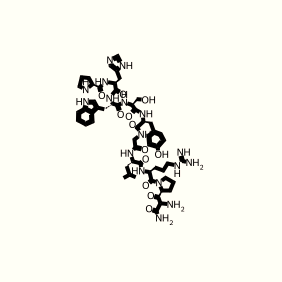 CC(C)C[C@H](NC(=O)CNC(=O)[C@H](Cc1ccc(O)cc1)NC(=O)[C@H](CO)NC(=O)[C@H](Cc1c[nH]c2ccccc12)NC(=O)[C@H](Cc1cnc[nH]1)NC(=O)[C@@H]1CCCN1)C(=O)N[C@@H](CCCNC(=N)N)C(=O)N1CCC[C@H]1C(=O)C(N)C(N)=O